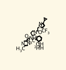 [2H]C([2H])([2H])Oc1cccc([C@@H]2[C@H](NC(=O)c3cnc(C)cn3)CCN2C(=O)Cn2nc(C3CC3)cc2C(F)(F)F)c1C